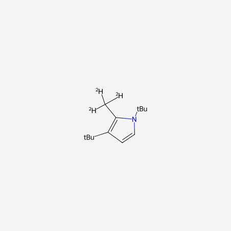 [2H]C([2H])([2H])c1c(C(C)(C)C)ccn1C(C)(C)C